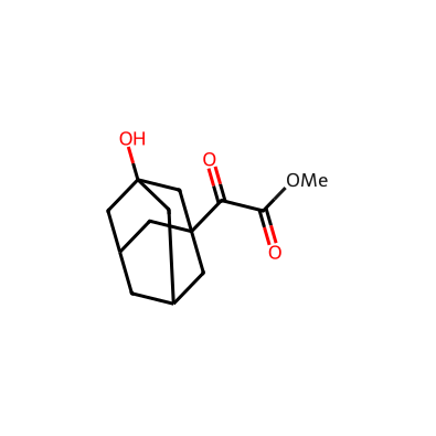 COC(=O)C(=O)C12CC3CC(CC(O)(C3)C1)C2